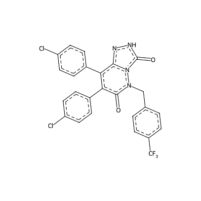 O=c1c(-c2ccc(Cl)cc2)c(-c2ccc(Cl)cc2)c2n[nH]c(=O)n2n1Cc1ccc(C(F)(F)F)cc1